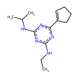 CCNc1nc(NC(C)C)nc(C2=CCCC2)n1